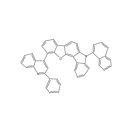 c1ccc(-c2cc(-c3cccc4c3oc3c4ccc4c3c3ccccc3n4-c3cccc4ccccc34)c3ccccc3n2)cc1